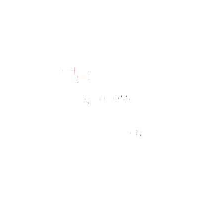 COc1cc(C#N)ccc1S(=O)(=O)N1CC[C@](O)(CO)C1